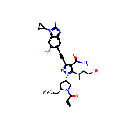 C=CC(=O)N1C[C@@H](n2nc(C#Cc3cc4nc(C)n(C5CC5)c4cc3Cl)c(C(N)=O)c2NCCO)C[C@@H]1COC